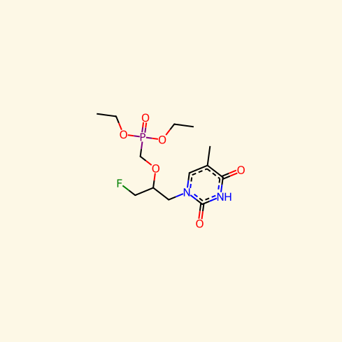 CCOP(=O)(COC(CF)Cn1cc(C)c(=O)[nH]c1=O)OCC